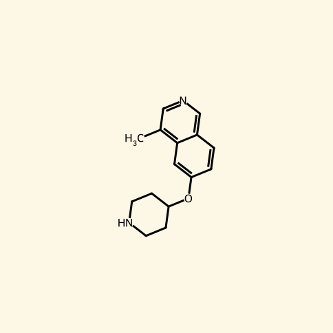 Cc1cncc2ccc(OC3CCNCC3)cc12